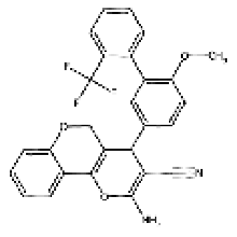 COc1ccc(C2C(C#N)=C(N)OC3=C2COc2ccccc23)cc1-c1ccccc1C(F)(F)F